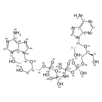 Nc1ncnc2c1ncn2[C@@H](CO)O[C@@H](CO)COP(=O)(O)OP(=O)(O)NP(=O)(O)OP(=O)(O)OC[C@H](CO)O[C@H](CO)n1cnc2c(N)ncnc21